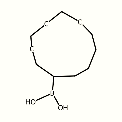 OB(O)C1CCCCCCCCCC1